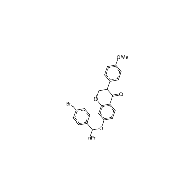 CCCC(Oc1ccc2c(c1)OCC(c1ccc(OC)cc1)C2=O)c1ccc(Br)cc1